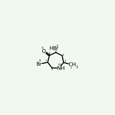 Br.CC1CCC(=O)C(Br)CN1